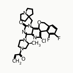 C=CC(=O)N1CCN(c2nc(=O)n(CC34CCCN3CCC4)c3c4c(c(Cl)nc23)-c2c(ccc(F)c2F)CO4)[C@@H](C)C1